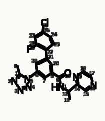 Cc1nnnn1-c1cc(C(=O)NC(C)c2cnccn2)cc(-c2ccc(Cl)cc2F)c1